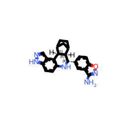 Nc1noc2ccc([C@@H]3Nc4ccc5[nH]ncc5c4[C@H]4C5CCC(C5)[C@@H]34)cc12